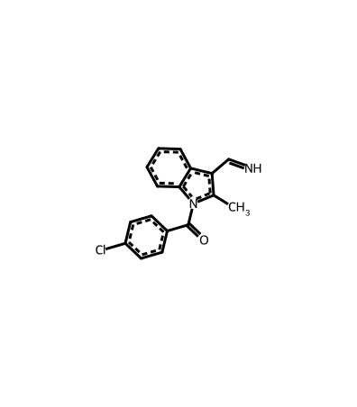 Cc1c(C=N)c2ccccc2n1C(=O)c1ccc(Cl)cc1